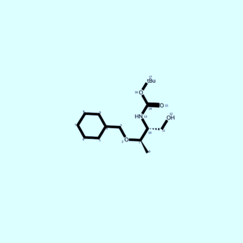 C[C@@H](OCC1CCCCC1)[C@@H](CO)NC(=O)OC(C)(C)C